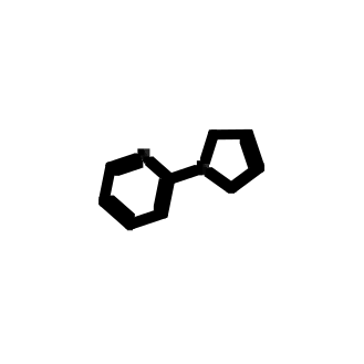 [c]1ccnc(N2CC=CC2)c1